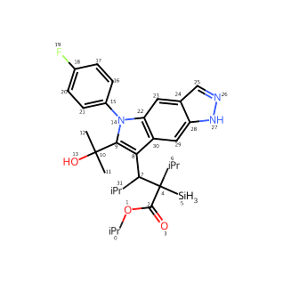 CC(C)OC(=O)C([SiH3])(C(C)C)C(c1c(C(C)(C)O)n(-c2ccc(F)cc2)c2cc3cn[nH]c3cc12)C(C)C